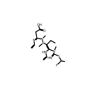 C=C/N=C(/CC(=O)O)N(C)N(C)/C(CC)=C(\NC=C)N(C)C(=N)SC(C)F